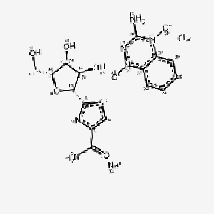 NC(=O)c1csc([C@@H]2O[C@H](CO)[C@@H](O)[C@H]2O)n1.Nc1n[n+]([O-])c2ccccc2[n+]1[O-].[Cl-].[Na+]